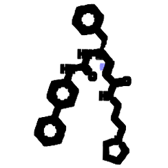 O=C(/C=C/[C@@H](Cc1ccccc1)NC(=O)Nc1ccc(-c2ccccc2)cc1)NCCCN1CCCC1